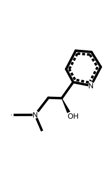 [CH2]N(C)C[C@H](O)c1ccccn1